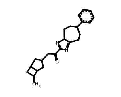 CC1CC2CC(CC(=O)C3=NC4CCC(c5ccccc5)CCC4=N3)CC12